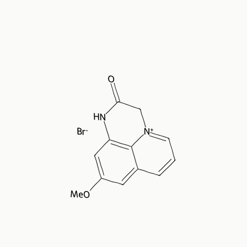 COc1cc2c3c(ccc[n+]3CC(=O)N2)c1.[Br-]